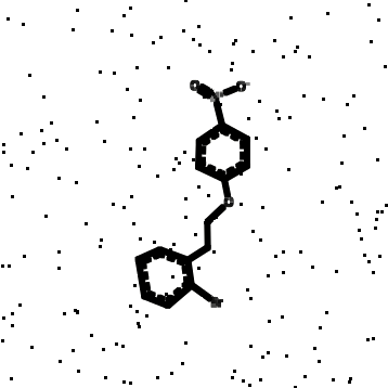 O=[N+]([O-])c1ccc(OCCc2ccccc2Br)cc1